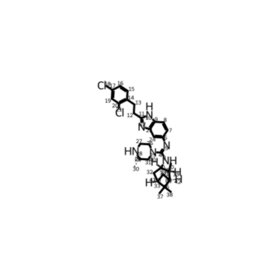 C[C@H]1[C@@H](NC(=Nc2ccc3[nH]c(CCc4ccc(Cl)cc4Cl)nc3c2)N2CCN[C@@H](C)C2)C[C@@H]2C[C@@H]1C2(C)C